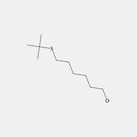 CC(C)(C)SCCCCCC[O]